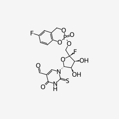 O=Cc1cn([C@@H]2O[C@](F)(COP3(=O)OCc4cc(F)ccc4O3)[C@@H](O)[C@H]2O)c(=S)[nH]c1=O